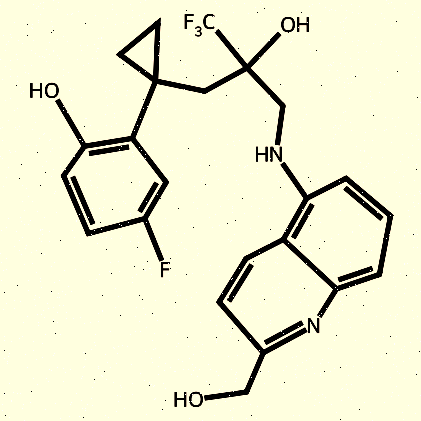 OCc1ccc2c(NCC(O)(CC3(c4cc(F)ccc4O)CC3)C(F)(F)F)cccc2n1